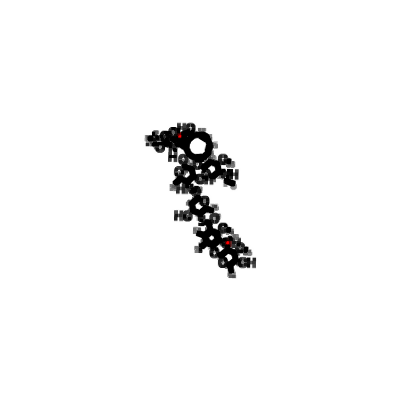 CCNC1COC(OC2C(O[C@H]3C#C/C=C\C#C[C@]4(O)CC(=O)C(NC(=O)OC)=C3/C4=C\CSSSC)OC(C)C(NOC3CC(O)C(SC(=O)c4c(C)c(I)c(OC5OC(C)[C@@H](O)C(OC)C5O)c(OC)c4OC)C(C)O3)C2O)CC1OC